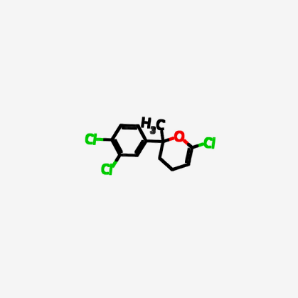 CC1(c2ccc(Cl)c(Cl)c2)CCC=C(Cl)O1